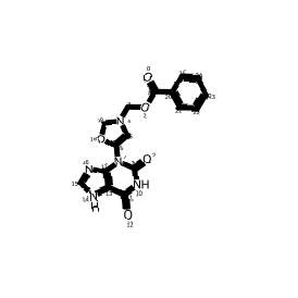 O=C(OCN1C=C(n2c(=O)[nH]c(=O)c3[nH]cnc32)OC1)c1ccccc1